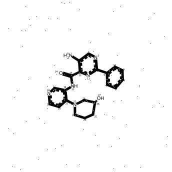 Nc1cnc(-c2ccccc2)nc1C(=O)Nc1cnccc1N1CCC[C@H](O)C1